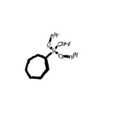 CCCO[Si](O)(OCCC)C1CCCCCC1